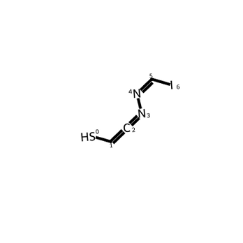 SC=C=N/N=C\I